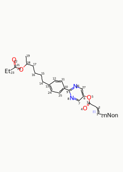 CCCCCCCCC/C=C/C(=O)Oc1cnc(-c2ccc(CCCCC(C)OC(=O)CC)cc2)nc1